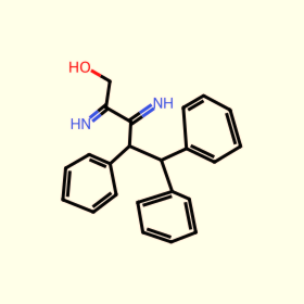 N=C(CO)C(=N)C(c1ccccc1)C(c1ccccc1)c1ccccc1